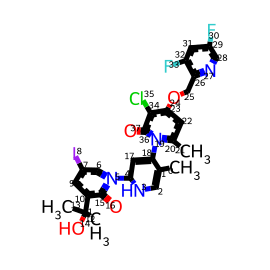 CC1=CNC(n2cc(I)cc(C(C)(C)O)c2=O)C=C1n1c(C)cc(OCc2ncc(F)cc2F)c(Cl)c1=O